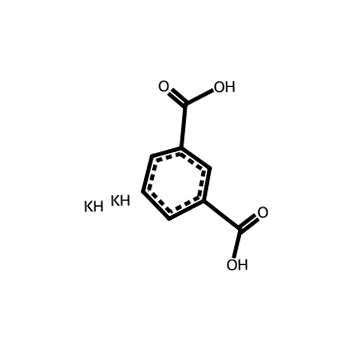 O=C(O)c1cccc(C(=O)O)c1.[KH].[KH]